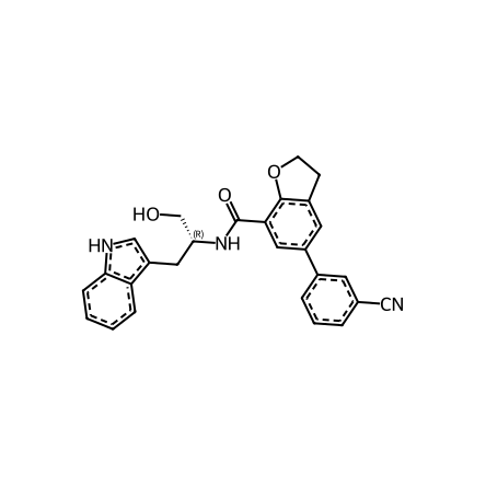 N#Cc1cccc(-c2cc3c(c(C(=O)N[C@@H](CO)Cc4c[nH]c5ccccc45)c2)OCC3)c1